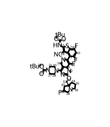 CC(C)(C)OC(=O)Nc1sc2c(F)cc(F)c(-c3ncc4c(N5CCN(C(=O)OC(C)(C)C)CC5)nc(OC[C@@]56CCCN5C[C@H](F)C6)nc4c3F)c2c1C#N